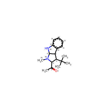 CC(=O)C1C(C(C)(C)C)C2c3ccccc3NC2N1C